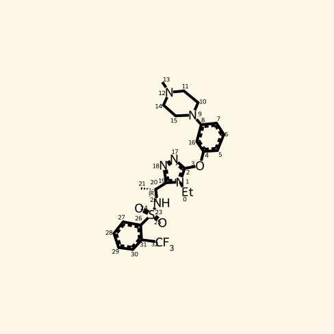 CCn1c(Oc2cccc(N3CCN(C)CC3)c2)nnc1[C@@H](C)NS(=O)(=O)c1ccccc1C(F)(F)F